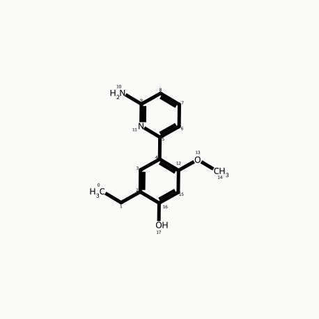 CCc1cc(-c2cccc(N)n2)c(OC)cc1O